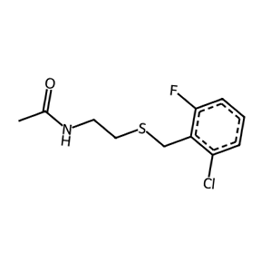 CC(=O)NCCSCc1c(F)cccc1Cl